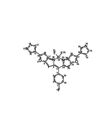 Fc1ccc(C2=C3C=c4oc(-c5cncs5)cc4=[N+]3[B-](F)(F)n3c2cc2oc(-c4cncs4)cc23)cc1